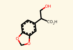 O=C(O)C(CO)c1ccc2c(c1)OCO2